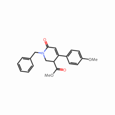 COC(=O)C1CN(Cc2ccccc2)C(=O)C=C1c1ccc(OC)cc1